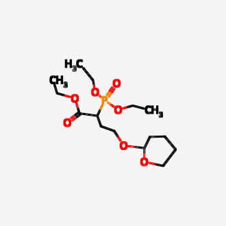 CCOC(=O)C(CCOC1CCCCO1)P(=O)(OCC)OCC